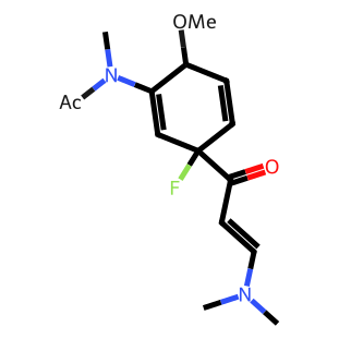 COC1C=CC(F)(C(=O)/C=C/N(C)C)C=C1N(C)C(C)=O